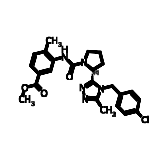 COC(=O)c1ccc(C)c(NC(=O)N2CCC[C@@H]2c2nnc(C)n2Cc2ccc(Cl)cc2)c1